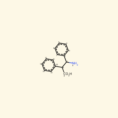 NC(c1ccccc1)C(C(=O)O)c1ccccc1